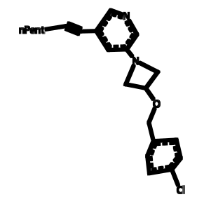 CCCCCC#Cc1cncc(N2CC(OCc3ccc(Cl)cc3)C2)c1